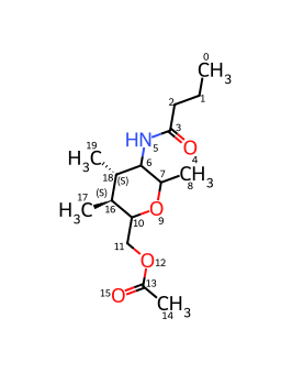 CCCC(=O)NC1C(C)OC(COC(C)=O)[C@@H](C)[C@@H]1C